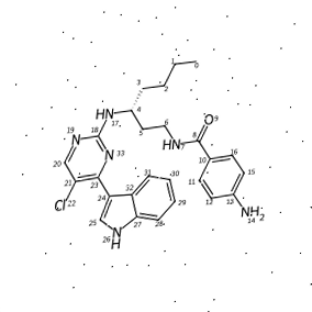 CCCC[C@H](CCNC(=O)c1ccc(N)cc1)Nc1ncc(Cl)c(-c2c[nH]c3ccccc23)n1